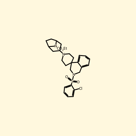 CCOC(=O)N1C2CCC1CC(N1CCC3(CC1)CN(S(=O)(=O)c1ccccc1Cl)Cc1ccccc13)C2